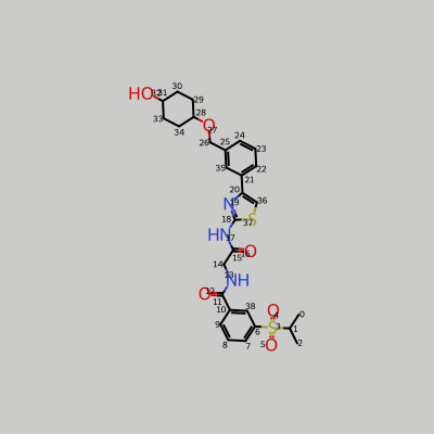 CC(C)S(=O)(=O)c1cccc(C(=O)NCC(=O)Nc2nc(-c3cccc(COC4CCC(O)CC4)c3)cs2)c1